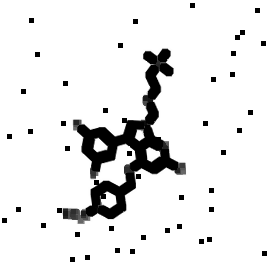 C[Si](C)(C)CCOCn1cc(-c2cc(F)cc(F)c2)c2c(OCC3CCN(C(=O)O)CC3)cc(Cl)nc21